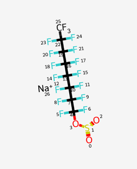 O=[S-](=O)OC(F)(F)C(F)(F)C(F)(F)C(F)(F)C(F)(F)C(F)(F)C(F)(F)C(F)(F)F.[Na+]